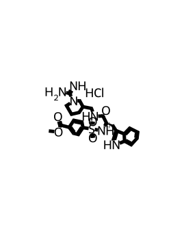 COC(=O)c1ccc(S(=O)(=O)N[C@H](Cc2c[nH]c3ccccc23)C(=O)NCC2CCCN(C(=N)N)C2)cc1.Cl